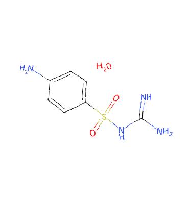 N=C(N)NS(=O)(=O)c1ccc(N)cc1.O